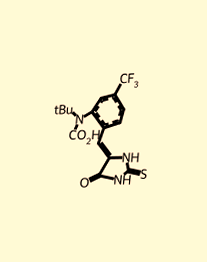 CC(C)(C)N(C(=O)O)c1cc(C(F)(F)F)ccc1C=C1NC(=S)NC1=O